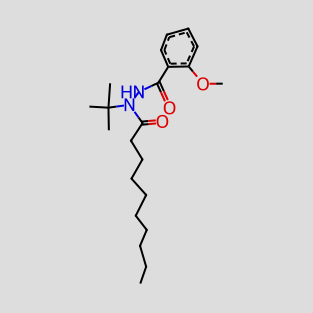 CCCCCCCCCC(=O)N(NC(=O)c1ccccc1OC)C(C)(C)C